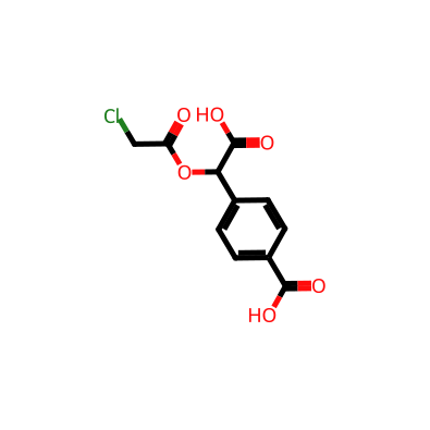 O=C(CCl)OC(C(=O)O)c1ccc(C(=O)O)cc1